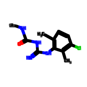 Cc1ccc(Cl)c(C)c1NC(=N)NC(=O)NC(C)(C)C